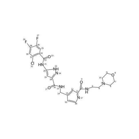 O=C(NCCN1CCOCC1)c1cc(CNC(=O)c2cc(NC(=O)c3cc(F)c(F)cc3Cl)[nH]n2)ccn1